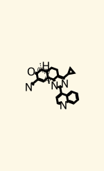 C[C@H]1C(=O)C(C#N)=C[C@@]2(C)c3nc(-c4ccnc5ccccc45)nc(C4CC4)c3CC[C@H]12